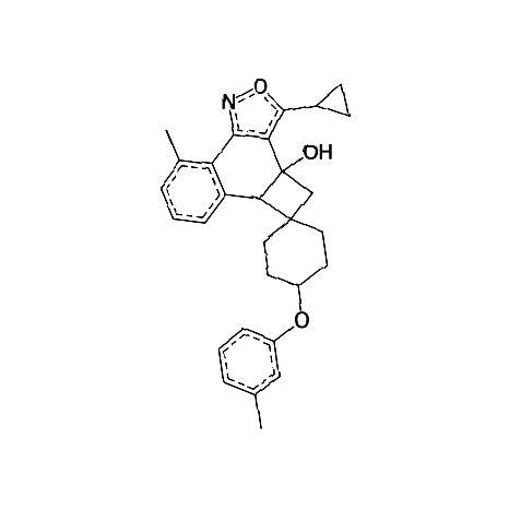 Cc1cccc(OC2CCC3(CC2)CC2(O)c4c(noc4C4CC4)-c4c(C)cccc4C32)c1